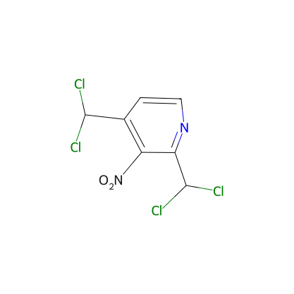 O=[N+]([O-])c1c(C(Cl)Cl)ccnc1C(Cl)Cl